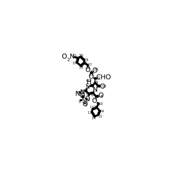 CS(=O)(=O)OC1=C(C(=O)OCc2ccccc2)N2C(=O)[C@H](C(C=O)OC(=O)OCc3ccc([N+](=O)[O-])cc3)[C@@H]2SC1=[N+]=[N-]